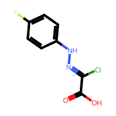 O=C(O)/C(Cl)=N/Nc1ccc(F)cc1